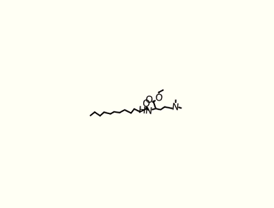 CCCCCCCCCCCC(=O)NC(CCCN(C)C)C(=O)OCC